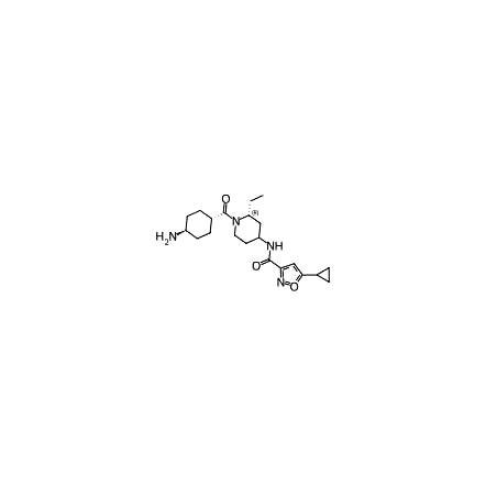 CC[C@@H]1CC(NC(=O)c2cc(C3CC3)on2)CCN1C(=O)[C@H]1CC[C@H](N)CC1